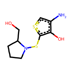 Nc1csc(SN2CCCC2CO)c1O